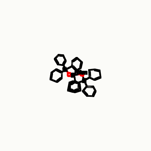 [CH2]CCCCCCCC[Si](O[Si](c1ccccc1)(c1ccccc1)c1ccccc1)(O[Si](c1ccccc1)(c1ccccc1)c1ccccc1)c1ccccc1